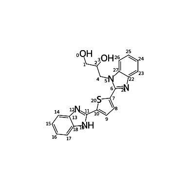 OCC(O)Cn1c(-c2ccc(-c3nc4ccccc4[nH]3)s2)nc2ccccc21